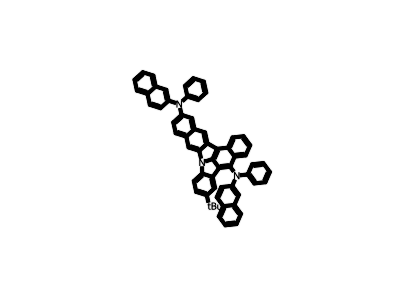 CC(C)(C)c1ccc2c(c1)c1c(N(c3ccccc3)c3ccc4ccccc4c3)c3ccccc3c3c4cc5cc(N(c6ccccc6)c6ccc7ccccc7c6)ccc5cc4n2c13